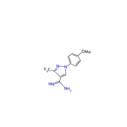 COc1ccc(-n2cc(C(=N)N)c(C(F)(F)F)n2)cc1